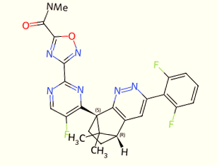 CNC(=O)c1nc(-c2ncc(F)c([C@@]34CC[C@@H](c5cc(-c6c(F)cccc6F)nnc53)C4(C)C)n2)no1